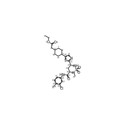 CCOC(=O)CC1CCC(c2cnc(C3CC(C(=O)Nc4ccc(F)c(Cl)c4)N(C)S(=O)(=O)N3)s2)CC1